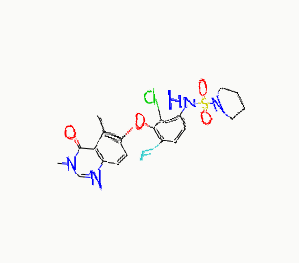 Cc1c(Oc2c(F)ccc(NS(=O)(=O)N3CCCC3)c2Cl)ccc2ncn(C)c(=O)c12